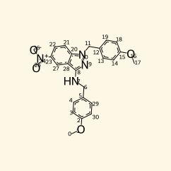 COc1ccc(CNc2nn(Cc3ccc(OC)cc3)c3ccc([N+](=O)[O-])cc23)cc1